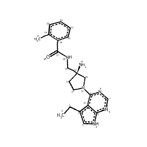 CCc1c[nH]c2ncnc(N3CC[C@](N)(CNC(=O)c4ccccc4C)C3)c12